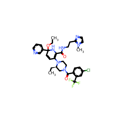 CCOC1(c2cccnc2)C=CC(N2CCN(C(=O)c3ccc(Cl)cc3C(F)(F)F)C[C@H]2CC)=C(C(=O)NCCc2nccn2C)N1